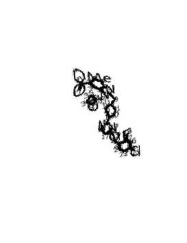 COC(=O)c1ccc2nc(CC3CC=C(c4nccc(OCc5ccc(Cl)cc5F)n4)CC3)n(C[C@@H]3CCO3)c2c1